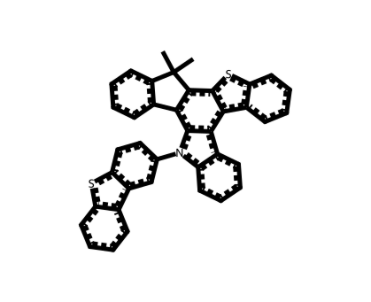 CC1(C)c2ccccc2-c2c1c1sc3ccccc3c1c1c3ccccc3n(-c3ccc4sc5ccccc5c4c3)c21